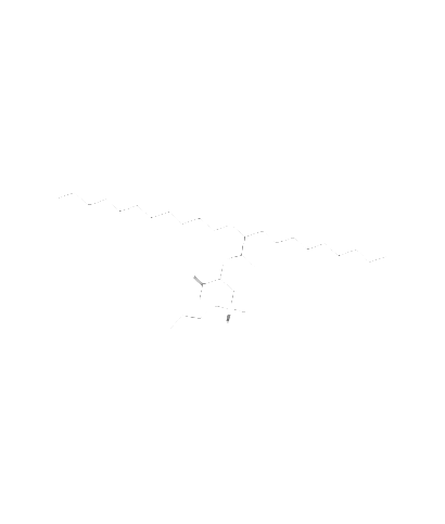 CCCCCCCCCCCSC(CCCCCCCCC)C(C)OC(CP(=O)(O)OCCC)C(=O)O